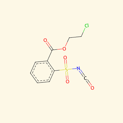 O=C=NS(=O)(=O)c1ccccc1C(=O)OCCCl